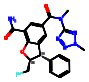 CN(C(=O)c1cc(C(N)=O)c2c(c1)[C@H](c1ccccc1)[C@@H](CF)O2)c1nnn(C)n1